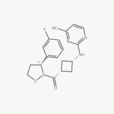 N#Cc1ccnc(N[C@H]2C[C@@H](C(=O)N3OCC[C@H]3c3cccc(F)c3)C2)n1